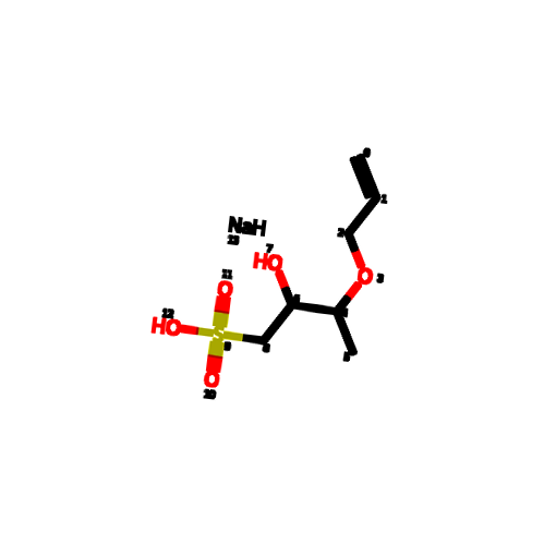 C=CCOC(C)C(O)CS(=O)(=O)O.[NaH]